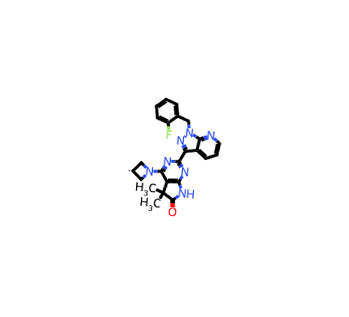 CC1(C)C(=O)Nc2nc(-c3nn(Cc4ccccc4F)c4ncccc34)nc(N3C[CH]C3)c21